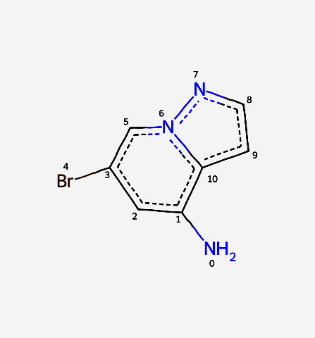 Nc1cc(Br)cn2nccc12